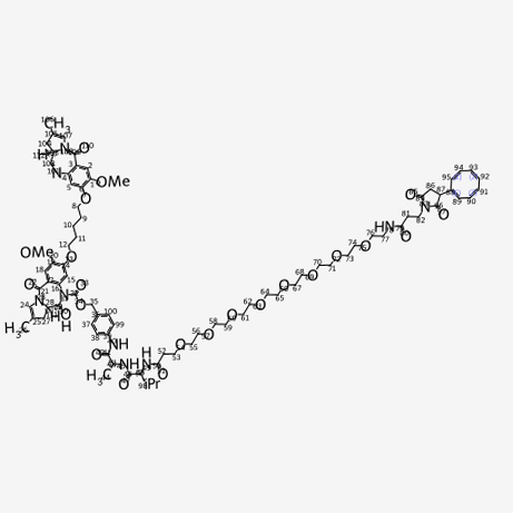 COc1cc2c(cc1OCCCCCOc1cc3c(cc1OC)C(=O)N1C=C(C)C[C@H]1[C@H](O)N3C(=O)OCc1ccc(NC(=O)[C@H](C)NC(=O)[C@@H](NC(=O)CCOCCOCCOCCOCCOCCOCCOCCOCCNC(=O)CCN3C(=O)CC(C4=C/C=C\C=C/C=C\4)C3=O)C(C)C)cc1)N=C[C@@H]1CC(C)=CN1C2=O